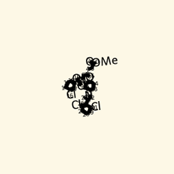 COC(=O)CC[C@H]1CN(S(=O)(=O)c2cccc(Cl)c2)c2cc(N3CC(c4c(Cl)cccc4Cl)C3)ccc2O1